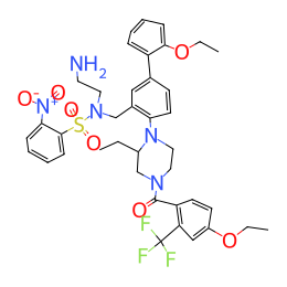 CCOc1ccc(C(=O)N2CCN(c3ccc(-c4ccccc4OCC)cc3CN(CCN)S(=O)(=O)c3ccccc3[N+](=O)[O-])C(CC)C2)c(C(F)(F)F)c1